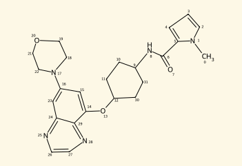 Cn1cccc1C(=O)NC1CCC(Oc2cc(N3CCOCC3)cc3nccnc23)CC1